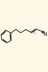 N#C/C=C/CCCc1ccccc1